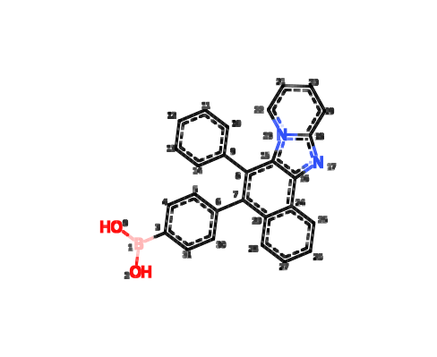 OB(O)c1ccc(-c2c(-c3ccccc3)c3c(nc4ccccn43)c3ccccc23)cc1